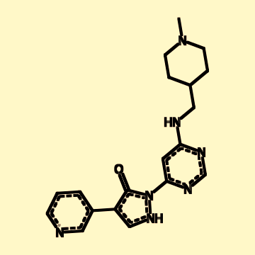 CN1CCC(CNc2cc(-n3[nH]cc(-c4cccnc4)c3=O)ncn2)CC1